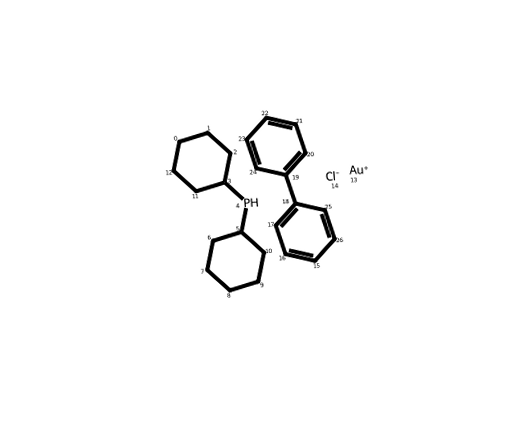 C1CCC(PC2CCCCC2)CC1.[Au+].[Cl-].c1ccc(-c2ccccc2)cc1